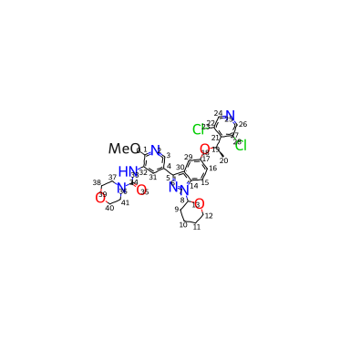 COc1ncc(-c2nn(C3CCCCO3)c3ccc(O[C@H](C)c4c(Cl)cncc4Cl)cc23)cc1NC(=O)N1CCOCC1